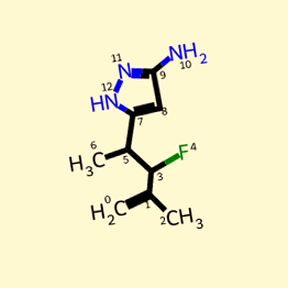 C=C(C)C(F)C(C)c1cc(N)n[nH]1